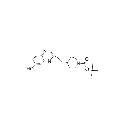 CC(C)(C)OC(=O)N1CCC(CCc2cnc3ccc(O)cc3n2)CC1